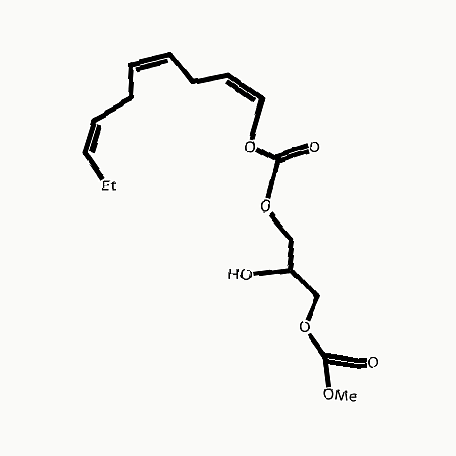 CC/C=C\C/C=C\C/C=C\OC(=O)OCC(O)COC(=O)OC